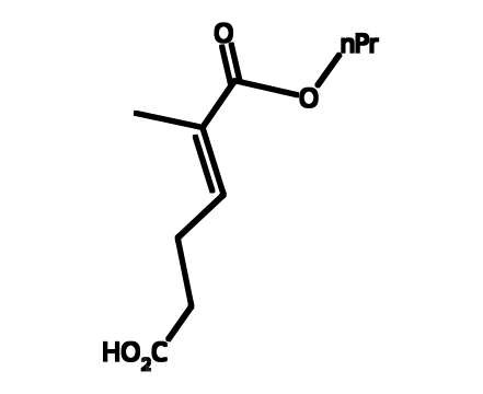 CCCOC(=O)C(C)=CCCC(=O)O